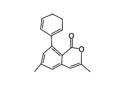 Cc1cc(C2=CCCC=C2)c2c(=O)oc(C)cc2c1